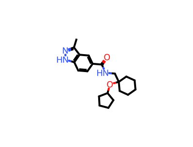 Cc1n[nH]c2ccc(C(=O)NCC3(OC4CCCC4)CCCCC3)cc12